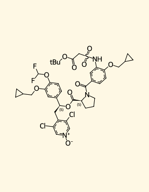 CC(C)(C)OC(=O)CS(=O)(=O)Nc1cc(C(=O)N2CCC[C@H]2C(=O)O[C@@H](Cc2c(Cl)c[n+]([O-])cc2Cl)c2ccc(OC(F)F)c(OCC3CC3)c2)ccc1OCC1CC1